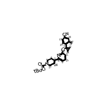 CC(C)(C)OC(=O)N1CCC(c2cccc(OC3(c4ccc(C#N)cc4F)CC3)n2)CC1